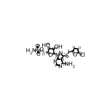 Nc1ncnc2c1c(SCc1ccc(Cl)o1)nn2[C@@H]1O[C@H](COS(N)(=O)=O)[C@@H](O)[C@H]1O